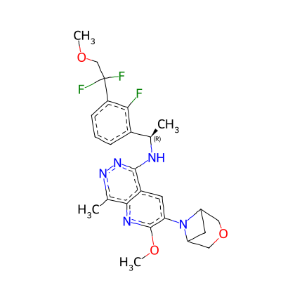 COCC(F)(F)c1cccc([C@@H](C)Nc2nnc(C)c3nc(OC)c(N4C5COCC4C5)cc23)c1F